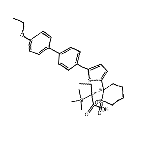 CCOc1ccc(-c2ccc(-c3ccc([C@@]4(C(CC)(C(=O)O)[Si](C)(C)C)CCCCS4(=O)=O)s3)cc2)cc1